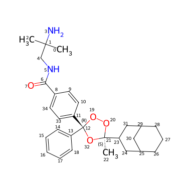 CC(C)(N)CNC(=O)c1ccc([C@@]2(c3ccccc3)OO[C@@](C)(C3CC4CCCC(C4)C3)O2)cc1